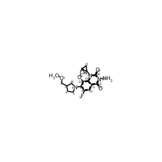 COCC1CCN(c2c(F)cc3c(=O)n(N)c(=O)n(C4CC4)c3c2OC)C1